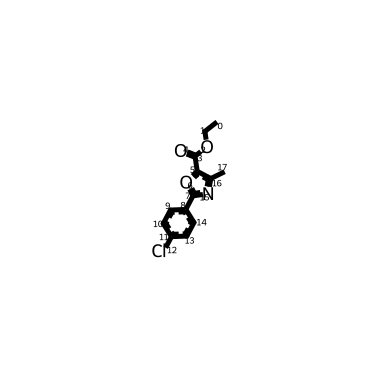 CCOC(=O)c1oc(-c2ccc(Cl)cc2)nc1C